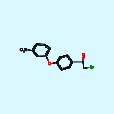 O=C(CBr)c1ccc(Oc2cccc([N+](=O)[O-])c2)cc1